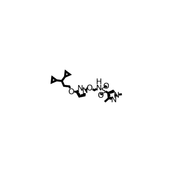 Cc1nn(C)cc1S(=O)(=O)NCOn1ccc(OCCC(C2CC2)C2CC2)n1